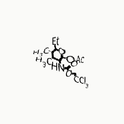 CCC1O[C@@H](OC(C)=O)C(NC(=O)OCC(Cl)(Cl)Cl)[C@@H](C)[C@@H]1C